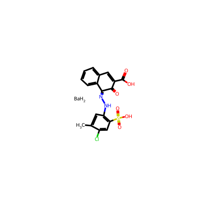 Cc1cc(N/N=C2\C(=O)C(C(=O)O)=Cc3ccccc32)c(S(=O)(=O)O)cc1Cl.[BaH2]